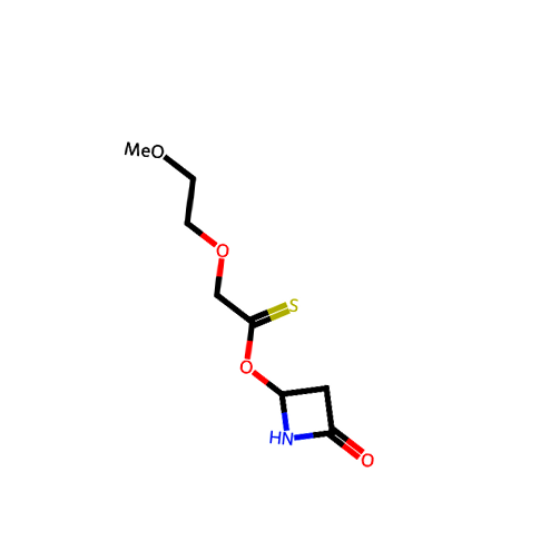 COCCOCC(=S)OC1CC(=O)N1